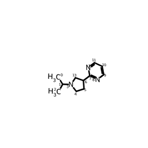 CC(C)N1CCC(c2ncccn2)C1